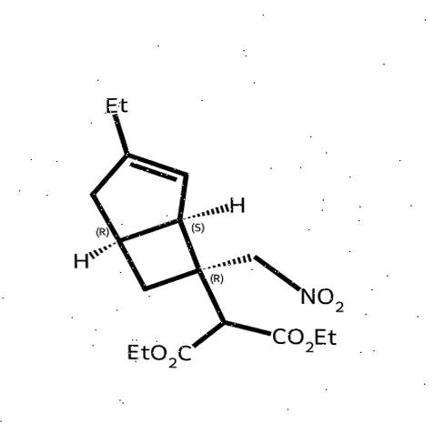 CCOC(=O)C(C(=O)OCC)[C@@]1(C[N+](=O)[O-])C[C@H]2CC(CC)=C[C@H]21